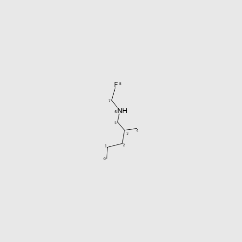 CCCC(C)CNCF